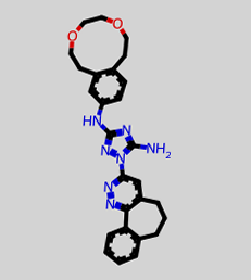 Nc1nc(Nc2ccc3c(c2)CCOCCOCC3)nn1-c1cc2c(nn1)-c1ccccc1CCC2